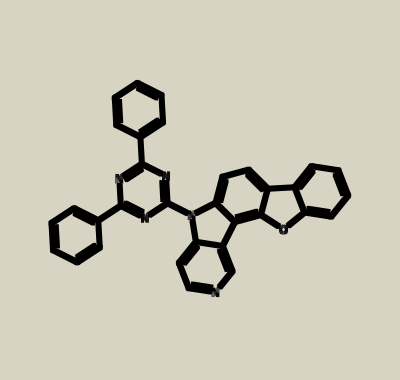 c1ccc(-c2nc(-c3ccccc3)nc(-n3c4ccncc4c4c5oc6ccccc6c5ccc43)n2)cc1